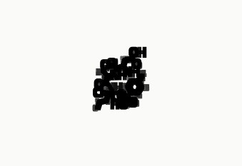 CCCC(Cl)(Cl)NC(=O)[C@@H](CO)NC(=O)[C@@H](N)CC(=O)O.Cc1ccc(S(=O)(=O)O)cc1